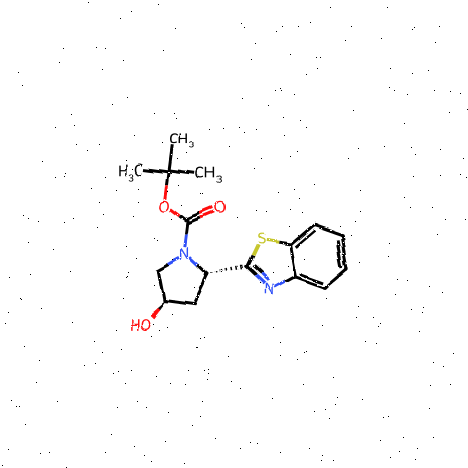 CC(C)(C)OC(=O)N1C[C@H](O)C[C@H]1c1nc2ccccc2s1